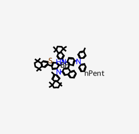 CCCCCc1ccc(N(c2ccc(C)cc2)c2ccc(Nc3ccc4c(c3)C(C)(C)CCC4(C)C)c(-c3c4c(cc5ccccc35)N(c3cc5c(cc3C)C(C)(C)CCC5(C)C)c3cc5c(cc3B4)sc3cc4c(cc35)C(C)(C)CCC4(C)C)c2)cc1